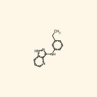 CCc1cccc(Nc2n[nH]c3cccnc23)c1